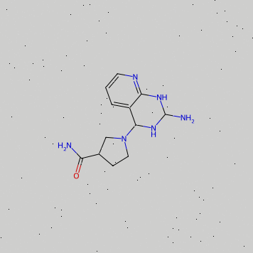 NC(=O)C1CCN(C2NC(N)Nc3ncccc32)C1